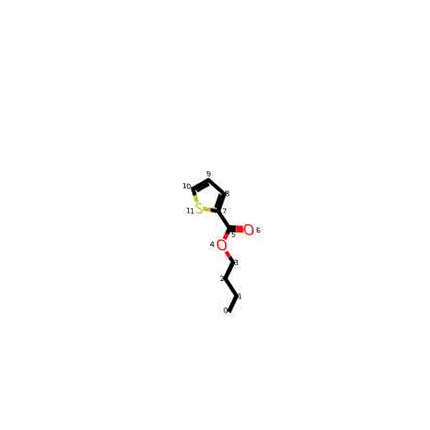 CCCCOC(=O)c1cccs1